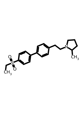 CCS(=O)(=O)c1ccc(-c2ccc(CCN3CCCC3C)cc2)cc1